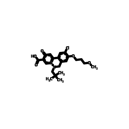 COCCCOc1cc2c(cc1Cl)-c1cc(=O)c(C(=O)O)cn1N(CC(C)(C)C)C2